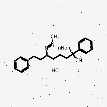 CCCCCCCCCC(C#N)(CCCC(CCc1ccccc1)/N=N/C)c1ccccc1.Cl